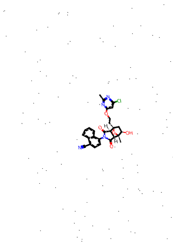 Cc1nc(Cl)cc(OCC[C@@]23C[C@@H](O)[C@@](C)(O2)[C@H]2C(=O)N(c4ccc(C#N)c5ccccc45)C(=O)[C@H]23)n1